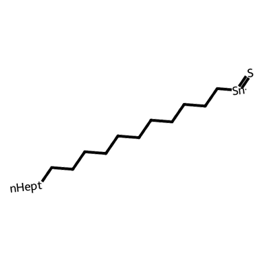 CCCCCCCCCCCCCCCCC[CH2][Sn]=[S]